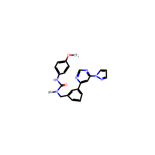 CC(C)N(Cc1cccc(-c2cc(-n3cccn3)ncn2)c1)C(=O)Nc1ccc(OC(F)(F)F)cc1